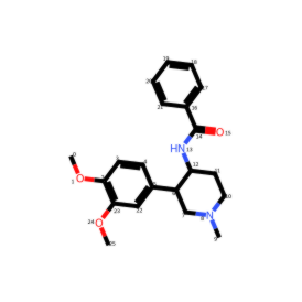 COc1ccc(C2CN(C)CCC2NC(=O)c2ccccc2)cc1OC